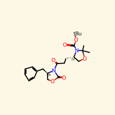 CC(C)(C)OC(=O)N1[C@@H](CCC(=O)N2C(=O)OC[C@H]2Cc2ccccc2)COC1(C)C